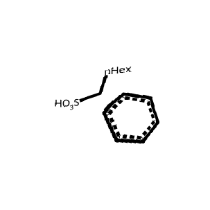 CCCCCCCS(=O)(=O)O.c1ccccc1